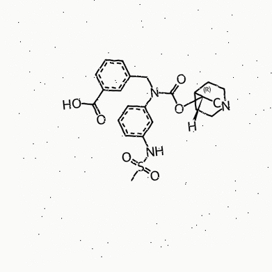 CS(=O)(=O)Nc1cccc(N(Cc2cccc(C(=O)O)c2)C(=O)O[C@H]2CN3CCC2CC3)c1